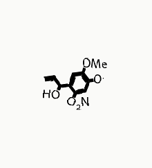 C=CC(O)c1cc(OC)c([O])cc1[N+](=O)[O-]